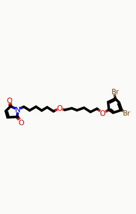 O=C1C=CC(=O)N1CCCCCCOCCCCCCOc1cc(Br)cc(Br)c1